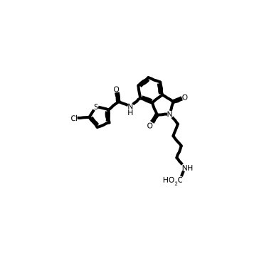 O=C(O)NCCCCN1C(=O)c2cccc(NC(=O)c3ccc(Cl)s3)c2C1=O